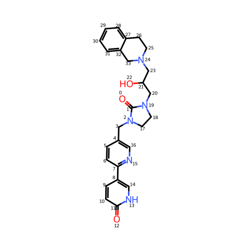 O=C1N(Cc2ccc(-c3ccc(=O)[nH]c3)nc2)CCN1CC(O)CN1CCc2ccccc2C1